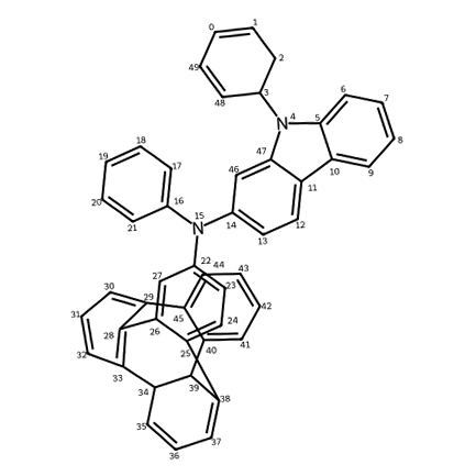 C1=CCC(n2c3ccccc3c3ccc(N(c4ccccc4)c4ccc5c(c4)-c4c6cccc4C4C=CC=C5C4c4ccccc4-6)cc32)C=C1